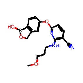 COCCCNc1nc(Oc2ccc3c(c2)COB3O)ccc1C#N